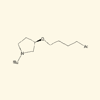 CC(=O)CCCCO[C@@H]1CCN(C(C)(C)C)C1